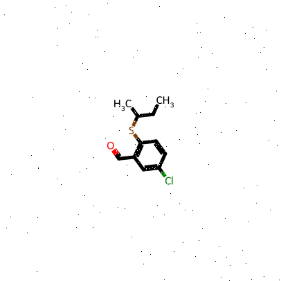 CCC(C)Sc1ccc(Cl)cc1C=O